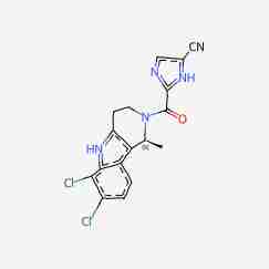 C[C@H]1c2c([nH]c3c(Cl)c(Cl)ccc23)CCN1C(=O)c1ncc(C#N)[nH]1